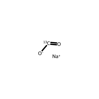 O=[13CH][O-].[Na+]